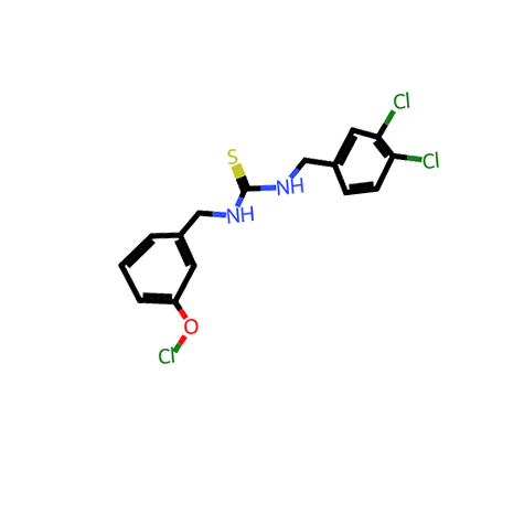 S=C(NCc1cccc(OCl)c1)NCc1ccc(Cl)c(Cl)c1